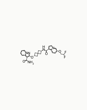 NC(=O)c1c(O[C@H]2CC3(C[C@H](NC(=O)c4ccn5cc(OCC(F)F)ccc45)C3)C2)nn2ccccc12